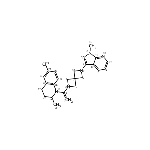 C=C(N1CC2(C1)CN(c1nn(C)c3ncccc13)C2)N1c2ccc(Cl)cc2CCC1C